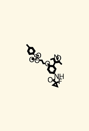 Cc1ccc(S(=O)(=O)OCCOc2ccc(NC(=O)C3(F)CC3)cc2-c2c(C)noc2C)cc1